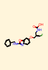 O=C(O)NC/C(=C\F)COc1ccc2nc(NCc3ccccc3)oc2c1